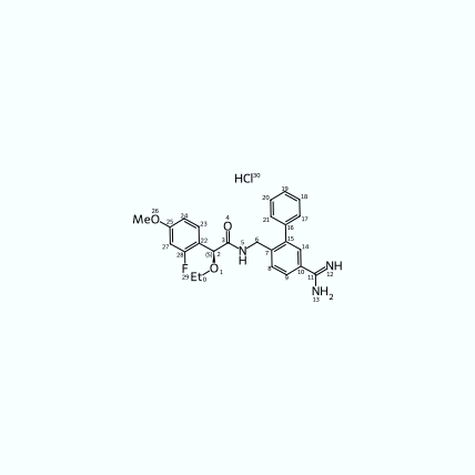 CCO[C@H](C(=O)NCc1ccc(C(=N)N)cc1-c1ccccc1)c1ccc(OC)cc1F.Cl